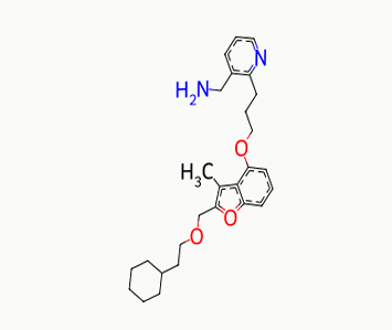 Cc1c(COCCC2CCCCC2)oc2cccc(OCCCc3ncccc3CN)c12